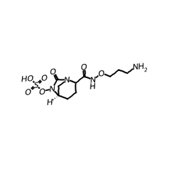 NCCCONC(=O)C1CC[C@@H]2CN1C(=O)N2OS(=O)(=O)O